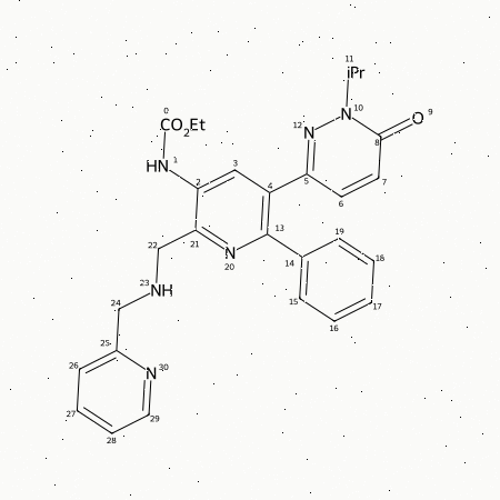 CCOC(=O)Nc1cc(-c2ccc(=O)n(C(C)C)n2)c(-c2ccccc2)nc1CNCc1ccccn1